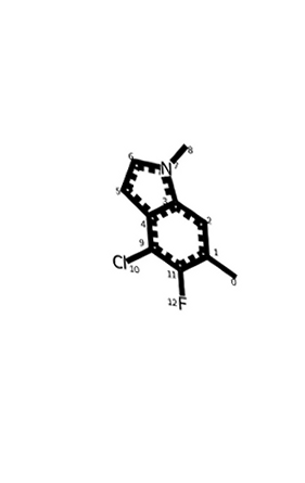 Cc1cc2c(ccn2C)c(Cl)c1F